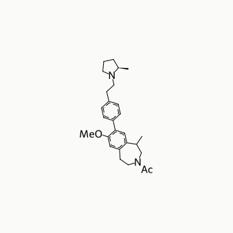 COc1cc2c(cc1-c1ccc(CCN3CCC[C@H]3C)cc1)C(C)CN(C(C)=O)CC2